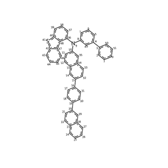 c1ccc(-c2cccc(N(c3ccc4cc(-c5ccc(-c6ccc7ccccc7c6)cc5)ccc4c3)c3cccc4sc5ccccc5c34)c2)cc1